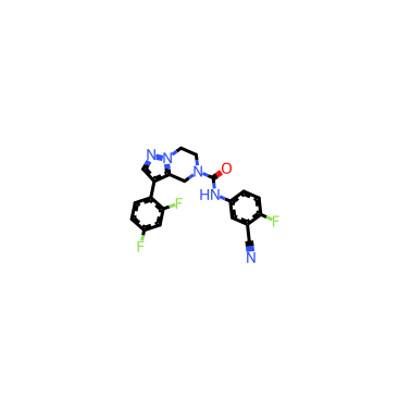 N#Cc1cc(NC(=O)N2CCn3ncc(-c4ccc(F)cc4F)c3C2)ccc1F